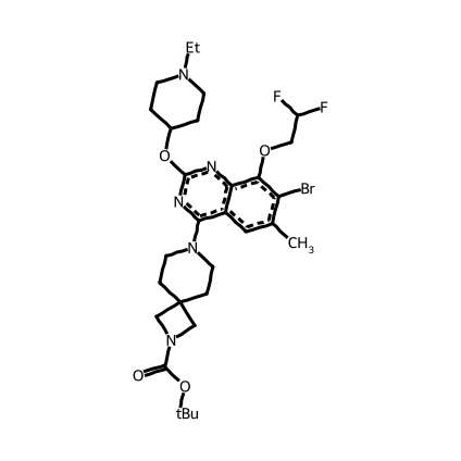 CCN1CCC(Oc2nc(N3CCC4(CC3)CN(C(=O)OC(C)(C)C)C4)c3cc(C)c(Br)c(OCC(F)F)c3n2)CC1